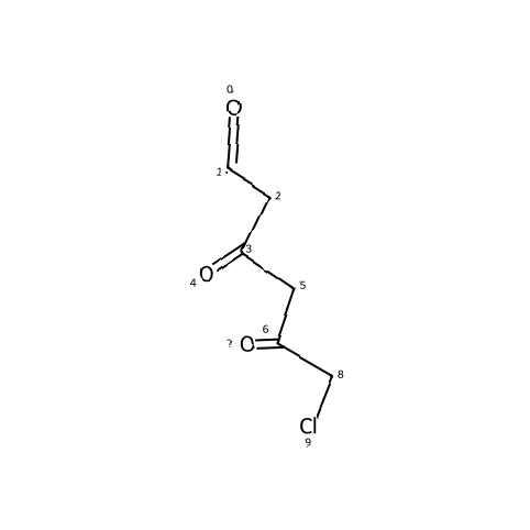 O=[C]CC(=O)CC(=O)CCl